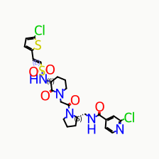 O=C(NC[C@@H]1CCCN1C(=O)CN1CCC[C@H](NS(=O)(=O)/C=C/c2ccc(Cl)s2)C1=O)c1ccnc(Cl)c1